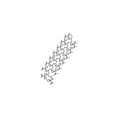 C=C(C)C(=O)OC(C)CC(CC(CC(CC(CC(CC(CC(CC(CC(CC(CC(CC(CC(CC(CC)OC(=O)C(=C)C)OC(=O)C(=C)C)OC(=O)C(=C)C)OC(=O)C(=C)C)OC(=O)C(=C)C)OC(=O)C(=C)C)OC(=O)C(=C)C)OC(=O)C(=C)C)OC(=O)C(=C)C)OC(=O)C(=C)C)OC(=O)C(=C)C)OC(=O)C(=C)C)OC(=O)C(=C)C)OC(=O)C(=C)C